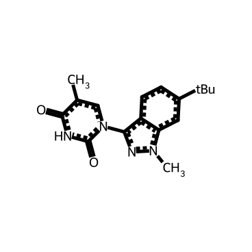 Cc1cn(-c2nn(C)c3cc(C(C)(C)C)ccc23)c(=O)[nH]c1=O